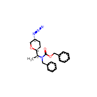 C[C@@H]([C@@H]1CC[C@@H](N=[N+]=[N-])[CH]O1)N(Cc1ccccc1)C(=O)OCc1ccccc1